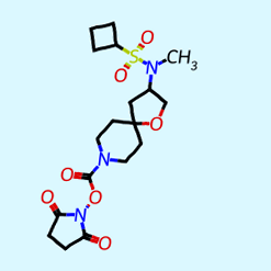 CN(C1COC2(CCN(C(=O)ON3C(=O)CCC3=O)CC2)C1)S(=O)(=O)C1CCC1